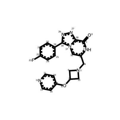 O=c1[nH]c(CN2CC(Oc3ccncc3)C2)cn2c(-c3ccc(F)cc3)nnc12